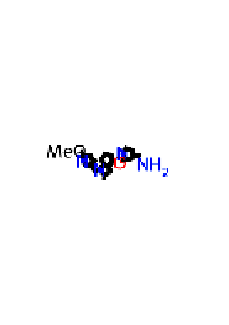 COc1ccc(Cn2c(C)cc3c(Oc4cc(CN)ccn4)cccc32)cn1